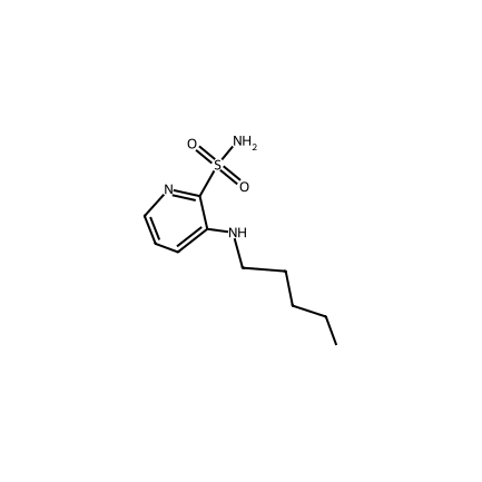 CCCCCNc1cccnc1S(N)(=O)=O